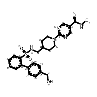 O=C(NO)c1cnc(N2CCC(CNS(=O)(=O)c3ccccc3-c3ccc(CO)cc3)CC2)nc1